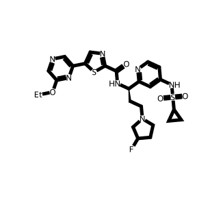 CCOc1cncc(-c2cnc(C(=O)N[C@H](CCN3CCC(F)C3)c3cc(NS(=O)(=O)C4CC4)ccn3)s2)n1